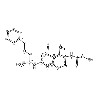 Cc1c(NC(=O)OC(C)(C)C)ccc2nc(N[C@@H](COCc3ccccc3)C(=O)O)oc(=O)c12